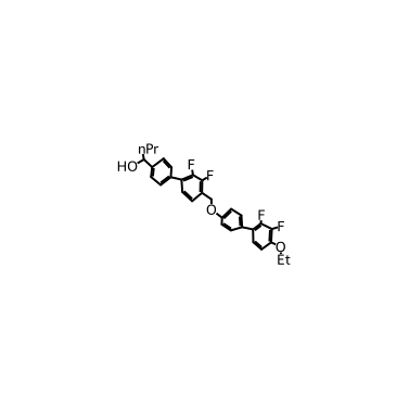 CCCC(O)c1ccc(-c2ccc(COc3ccc(-c4ccc(OCC)c(F)c4F)cc3)c(F)c2F)cc1